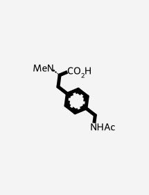 CN[C@@H](Cc1ccc(CNC(C)=O)cc1)C(=O)O